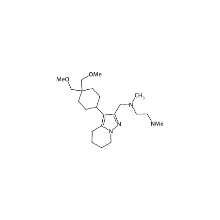 CNCCN(C)Cc1nn2c(c1C1CCC(COC)(COC)CC1)CCCC2